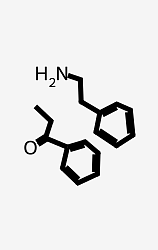 CCC(=O)c1ccccc1.NCCc1ccccc1